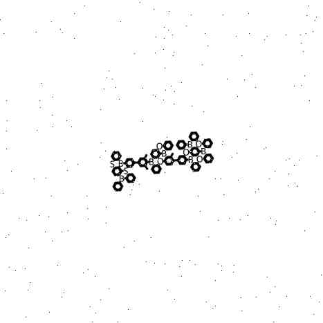 Cc1cc(-c2ccc(B3c4ccccc4Sc4ccc5c(c43)Sc3ccccc3B5c3ccccc3)cc2)cc(C)c1B1c2ccccc2Oc2c1ccc1c2B(c2c(C)ccc(-c3ccc(B4c5ccccc5Oc5c6c(c7c(c54)Oc4ccccc4B7c4ccccc4)Oc4ccccc4B6c4ccccc4)cc3)c2C)c2ccccc2O1